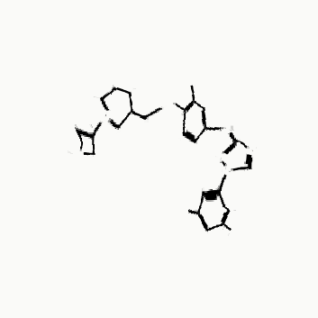 Cc1cc(Nc2ncn(-c3cc(F)cc(F)c3)n2)ccc1OCC1CCCN(C2COC2)C1